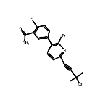 CC(C)c1nc(C#CC(C)(C)O)ccc1-c1ccc(F)c(C(N)=O)c1